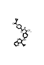 CN(C(=O)C1CCN(C(=O)C2CC2)CC1)[C@@H](c1ccc(Nc2cnc3cccnc3c2C2CC2)cc1)C(F)(F)F